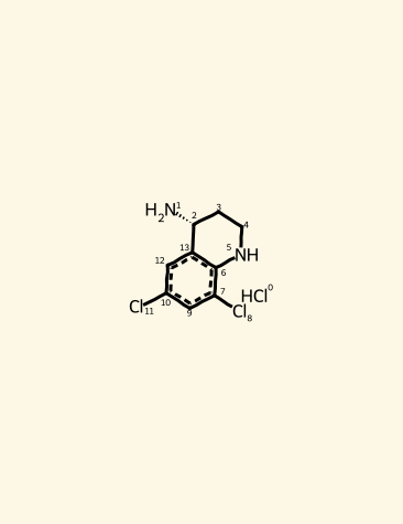 Cl.N[C@@H]1CCNc2c(Cl)cc(Cl)cc21